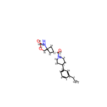 CC(C)Cc1cccc(C2CCN(C(=O)[C@H]3C[C@]4(COC(=O)N4)C3)CC2)c1